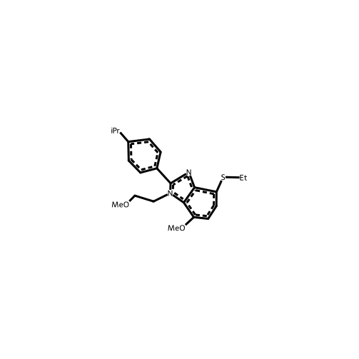 CCSc1ccc(OC)c2c1nc(-c1ccc(C(C)C)cc1)n2CCOC